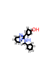 CC(Nc1c(-c2ccc(O)cc2)nc2ccccn12)c1ccccc1